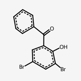 O=C(c1ccccc1)c1cc(Br)cc(Br)c1O